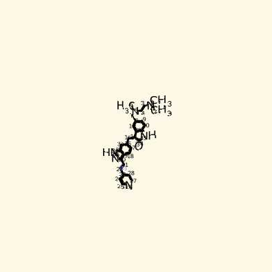 CN(C)CCN(C)Cc1ccc2c(c1)C(=Cc1ccc3c(/C=C/c4ccncc4)n[nH]c3c1)C(=O)N2